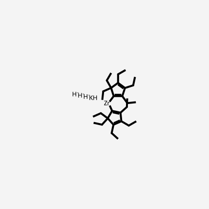 CCC1=C(CC)C(CC)(CC)[C]([Zr][C]2=C(CC)C(CC)=C(CC)C2(CC)CC)=C1CC.[H-].[H-].[H-].[KH]